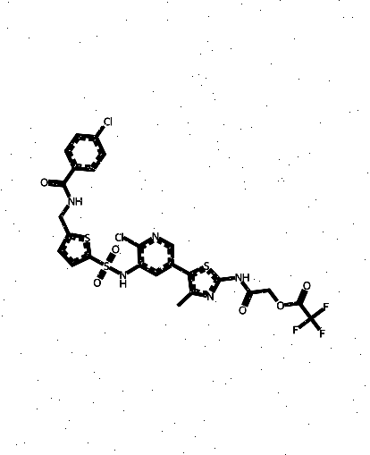 Cc1nc(NC(=O)COC(=O)C(F)(F)F)sc1-c1cnc(Cl)c(NS(=O)(=O)c2ccc(CNC(=O)c3ccc(Cl)cc3)s2)c1